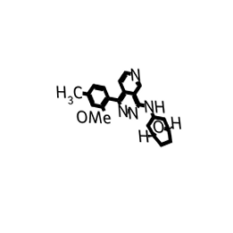 COc1cc(C)ccc1-c1nnc(NC2C[C@H]3CC[C@H](C2)O3)c2cnccc12